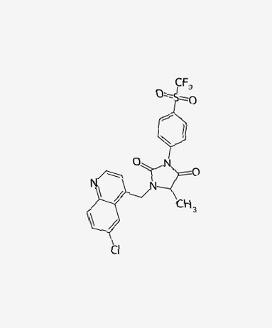 CC1C(=O)N(c2ccc(S(=O)(=O)C(F)(F)F)cc2)C(=O)N1Cc1ccnc2ccc(Cl)cc12